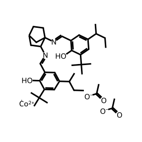 CC(=O)[O-].CC(=O)[O-].CCC(C)c1cc(C=NC2CC3CCC2(N=Cc2cc(C(C)CC)cc(C(C)(C)C)c2O)C3)c(O)c(C(C)(C)C)c1.[Co+2]